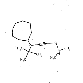 C[SiH](C)OC#CC(C1CCCCCCC1)C(C)(C)C